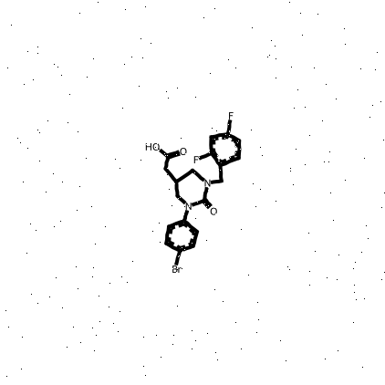 O=C(O)CC1CN(Cc2ccc(F)cc2F)C(=O)N(c2ccc(Br)cc2)C1